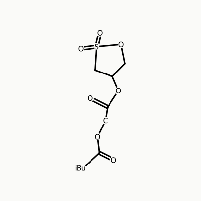 CCC(C)C(=O)OCC(=O)OC1COS(=O)(=O)C1